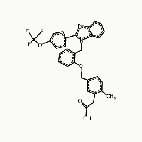 Cc1ccc(COc2ccccc2Cn2c(-c3ccc(OC(F)(F)F)cc3)nc3ccccc32)cc1CC(=O)O